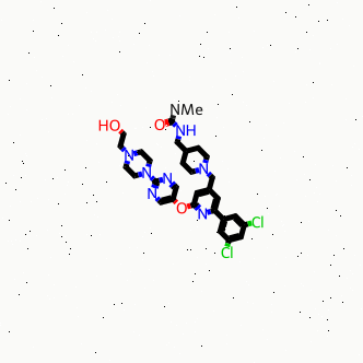 CNC(=O)NCC1CCN(Cc2cc(Oc3cnc(N4CCN(CCO)CC4)nc3)nc(-c3cc(Cl)cc(Cl)c3)c2)CC1